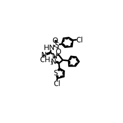 CN=C(NS(=O)(=O)c1ccc(Cl)cc1)N1CC(c2ccccc2)C(c2ccc(Cl)s2)=N1